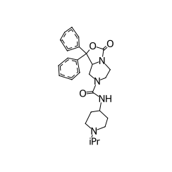 CC(C)N1CCC(NC(=O)N2CCN3C(=O)OC(c4ccccc4)(c4ccccc4)C3C2)CC1